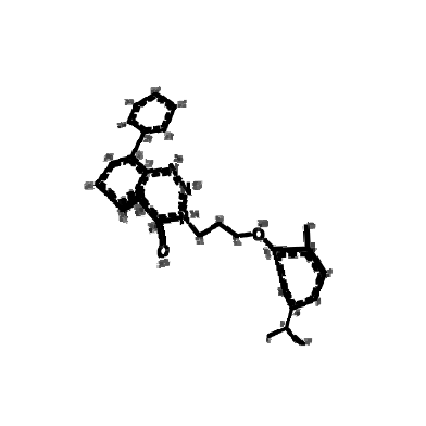 Cc1ccc(C(C)C)cc1OCCCn1nnc2c(-c3ccccc3)cccc2c1=O